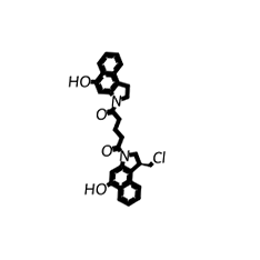 O=C(CCCC(=O)N1C[C@@H](CCl)c2c1cc(O)c1ccccc21)N1CCc2c1cc(O)c1ccccc21